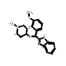 CSc1cccc(C(OC2CCN(C)CC2)c2nc3ccccc3s2)c1